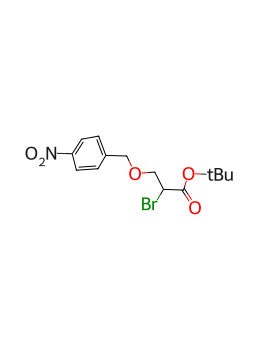 CC(C)(C)OC(=O)C(Br)COCc1ccc([N+](=O)[O-])cc1